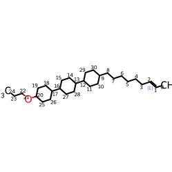 C/C=C/CCCCCCC1CCC(C2CCC(C3CCC(OCCC)CC3)CC2)CC1